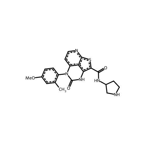 COc1ccc(N2C(=O)Nc3c(C(=O)NC4CCNC4)sc4nccc2c34)c(C)c1